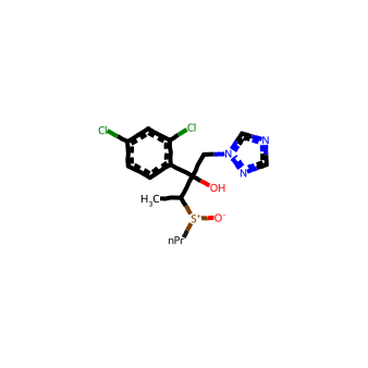 CCC[S+]([O-])C(C)C(O)(Cn1cncn1)c1ccc(Cl)cc1Cl